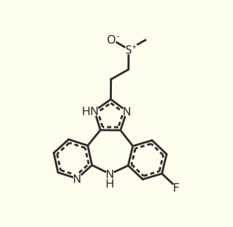 C[S+]([O-])CCc1nc2c([nH]1)-c1cccnc1Nc1cc(F)ccc1-2